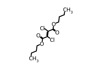 CCCCOC(=O)C(Cl)=C(Cl)C(=O)OCCCC